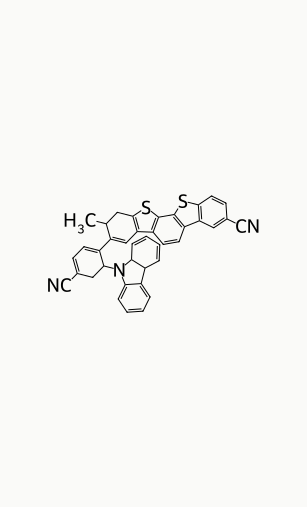 CC1Cc2sc3c(ccc4c5cc(C#N)ccc5sc43)c2C=C1C1=CC=C(C#N)CC1N1c2ccccc2C2C=CC=CC21